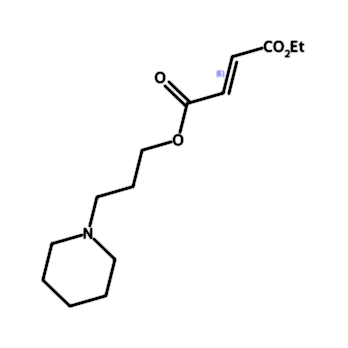 CCOC(=O)/C=C/C(=O)OCCCN1CCCCC1